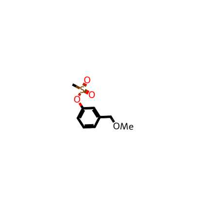 COCc1cccc(OS(C)(=O)=O)c1